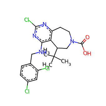 CC(C)(C)C1CN(C(=O)O)CCc2nc(Cl)nc(NCc3ccc(Cl)cc3Cl)c21